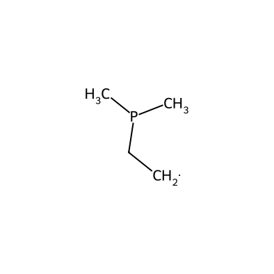 [CH2]CP(C)C